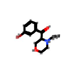 O=C(c1cccc(Br)c1)C1COCCN1C(=O)O